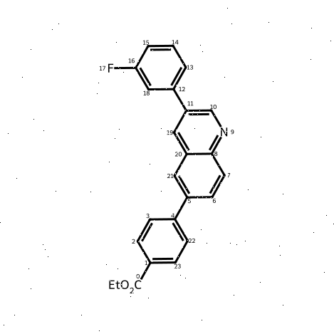 CCOC(=O)c1ccc(-c2ccc3ncc(-c4cccc(F)c4)cc3c2)cc1